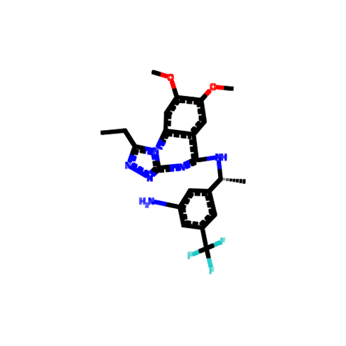 CCc1nnc2nc(N[C@H](C)c3cc(N)cc(C(F)(F)F)c3)c3cc(OC)c(OC)cc3n12